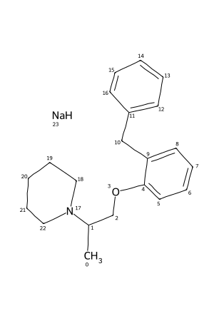 CC(COc1ccccc1Cc1ccccc1)N1CCCCC1.[NaH]